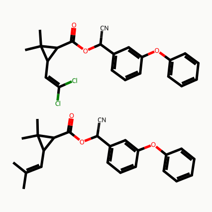 CC(C)=CC1C(C(=O)OC(C#N)c2cccc(Oc3ccccc3)c2)C1(C)C.CC1(C)C(C=C(Cl)Cl)C1C(=O)OC(C#N)c1cccc(Oc2ccccc2)c1